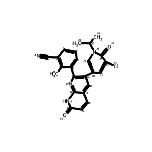 Cc1c(C#N)cccc1-c1nc2[nH]c(=O)ccc2cc1-c1cc(Cl)c(=O)n(C(C)C)c1